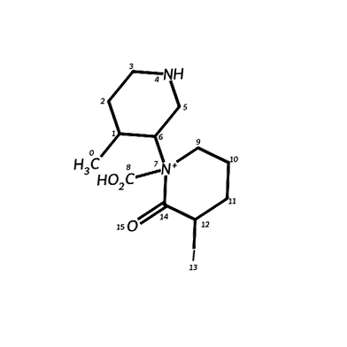 CC1CCNCC1[N+]1(C(=O)O)CCCC(I)C1=O